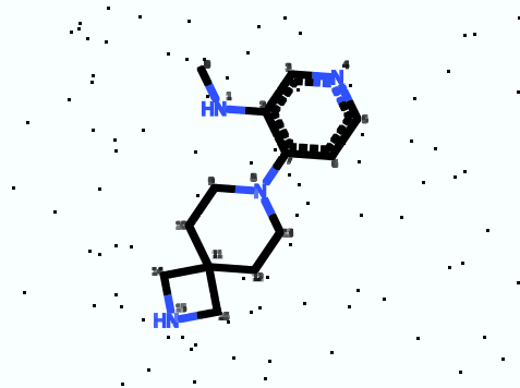 CNc1cnccc1N1CCC2(CC1)CNC2